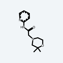 CC1(C)CN(CC(=O)Nc2ccccn2)CCO1